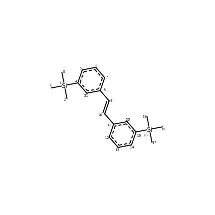 C[Si](C)(C)c1cccc(C=Cc2cccc([Si](C)(C)C)c2)c1